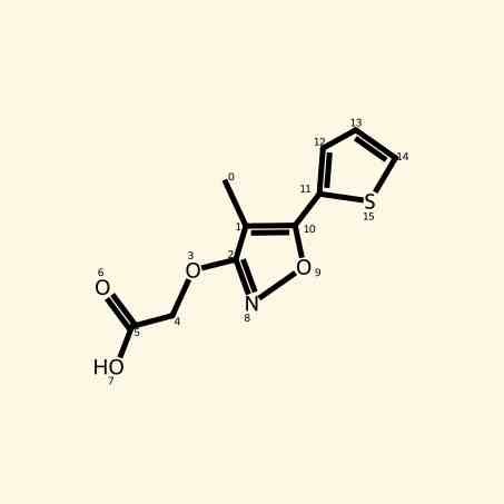 Cc1c(OCC(=O)O)noc1-c1cccs1